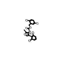 Cc1onc(-c2c(Cl)cccc2Cl)c1NC(=O)OCc1cc(Cl)ccc1Cl